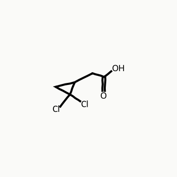 O=C(O)CC1CC1(Cl)Cl